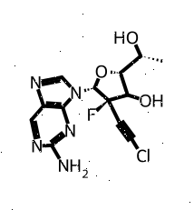 C[C@@H](O)[C@H]1O[C@@H](n2cnc3cnc(N)nc32)[C@@](F)(C#CCl)C1O